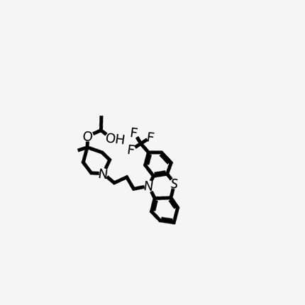 CC(O)OC1(C)CCN(CCCN2c3ccccc3Sc3ccc(C(F)(F)F)cc32)CC1